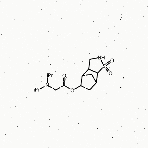 CC(C)N(CC(=O)OC1CC2CC1C1CNS(=O)(=O)C21)C(C)C